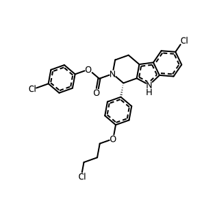 O=C(Oc1ccc(Cl)cc1)N1CCc2c([nH]c3ccc(Cl)cc23)[C@@H]1c1ccc(OCCCCl)cc1